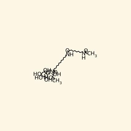 CCC(=O)NCCCCCCCC1OC1NCCCCCCCCCCCC(=O)N[C@@H](CO[C@H]1OC(CO)[C@H](O)C(O)CC1O)[C@H](O)[C@H](O)CC